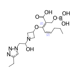 CCC/C=C\C(OC1CN(C(O)Cn2cc(CC)nn2)C1)=C(/COB(O)O)C(=O)O